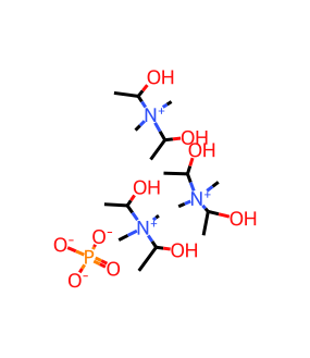 CC(O)[N+](C)(C)C(C)O.CC(O)[N+](C)(C)C(C)O.CC(O)[N+](C)(C)C(C)O.O=P([O-])([O-])[O-]